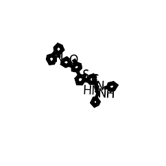 c1ccc(C2N=C(c3ccc4sc5c(-c6ccc7oc8cc(-n9c%10ccccc%10c%10ccccc%109)ccc8c7c6)cccc5c4c3)NC(c3ccccc3)N2)cc1